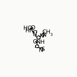 Cc1cn(-c2cc(CN3CCCC(NC(=O)O)C3)cc(NC(=O)c3cccc(-c4cscn4)c3)c2)cn1